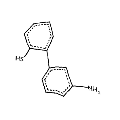 Nc1cccc(-c2ccccc2S)c1